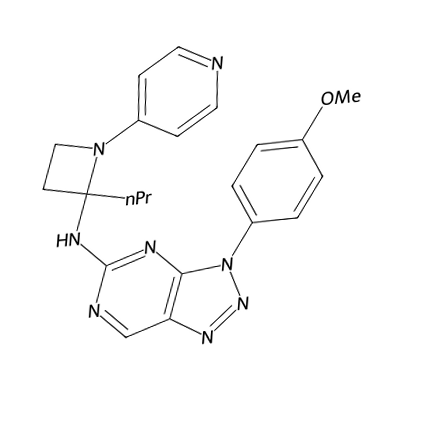 CCCC1(Nc2ncc3nnn(-c4ccc(OC)cc4)c3n2)CCN1c1ccncc1